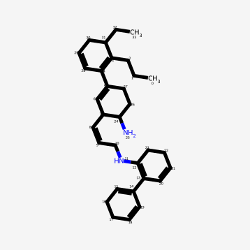 CCCC1=C(C2=CC(/C=C\CNC3=C(C4=CCCC=C4)C=CCC3)C(N)CC2)C=CCC1CC